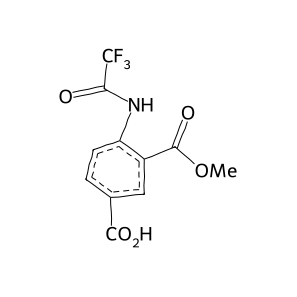 COC(=O)c1cc(C(=O)O)ccc1NC(=O)C(F)(F)F